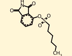 CCCCCCS(=O)(=O)Oc1cccc2c1C(=O)NC2=O